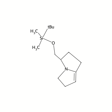 CC(C)(C)[Si](C)(C)OCC1CCC2=CCCN21